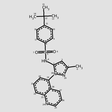 Cc1cc(NS(=O)(=O)c2ccc(C(C)(C)C)cc2)n(-c2cccc3ncccc23)n1